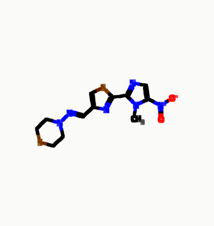 Cn1c([N+](=O)[O-])cnc1-c1nc(C=NN2CCSCC2)cs1